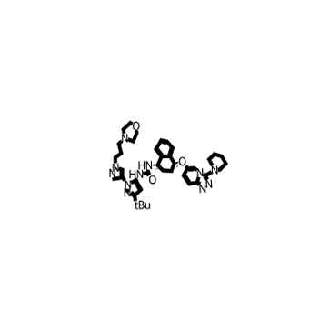 CC(C)(C)c1cc(NC(=O)N[C@H]2CC[C@@H](Oc3ccc4nnc(N5CCCCC5)n4c3)c3ccccc32)n(-c2cnn(CCCN3CCOCC3)c2)n1